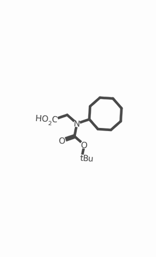 CC(C)(C)OC(=O)N(CC(=O)O)C1CCCCCCC1